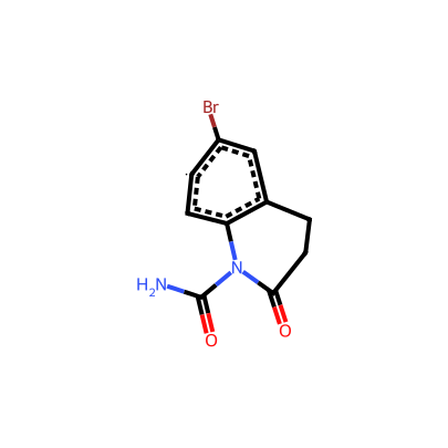 NC(=O)N1C(=O)CCc2cc(Br)[c]cc21